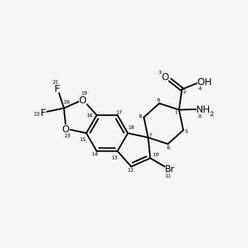 NC1(C(=O)O)CCC2(CC1)C(Br)=Cc1cc3c(cc12)OC(F)(F)O3